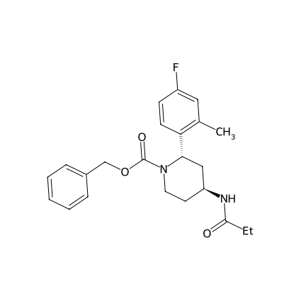 CCC(=O)N[C@H]1CCN(C(=O)OCc2ccccc2)[C@H](c2ccc(F)cc2C)C1